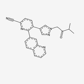 CC(C)C(=O)Cn1cc(-c2ccc(C#N)nc2-c2ccc3cccnc3c2)cn1